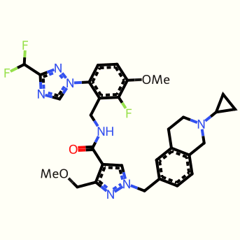 COCc1nn(Cc2ccc3c(c2)CCN(C2CC2)C3)cc1C(=O)NCc1c(-n2cnc(C(F)F)n2)ccc(OC)c1F